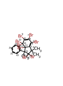 CC1(C)C2=C(Br)C(Br)=C(Br)C(Br)(Br)C2(Br)C(C)(c2ccccc2)C1(Br)Br